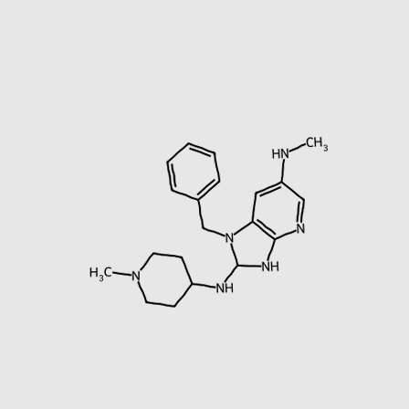 CNc1cnc2c(c1)N(Cc1ccccc1)C(NC1CCN(C)CC1)N2